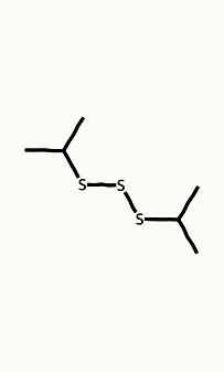 CC(C)SSSC(C)C